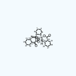 O=C1OC(c2ccccc2-c2nc3ccccc3c(=O)o2)([N+](=O)[O-])Nc2ccccc21